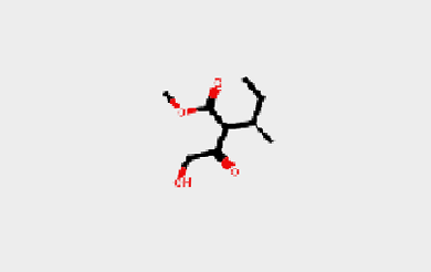 CC[C@@H](C)C(C(=O)CO)C(=O)OC